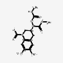 CCC(=O)N1C[C@@H](N(NC(=O)OC(C)(C)C)C(=O)OC(C)(C)C)Cc2cc(OC)c(OC)cc21